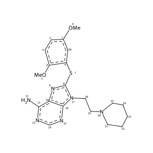 COc1ccc(OC)c(Sc2nc3c(N)ncnc3n2CCN2CCCCC2)c1